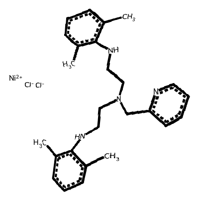 Cc1cccc(C)c1NCCN(CCNc1c(C)cccc1C)Cc1ccccn1.[Cl-].[Cl-].[Ni+2]